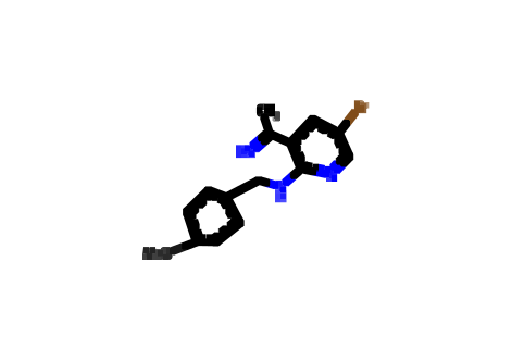 COc1ccc(CNc2ncc(Br)cc2C(C)=N)cc1